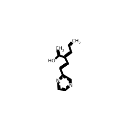 C=C/C=C(/C=C/c1cnccn1)C(=C)O